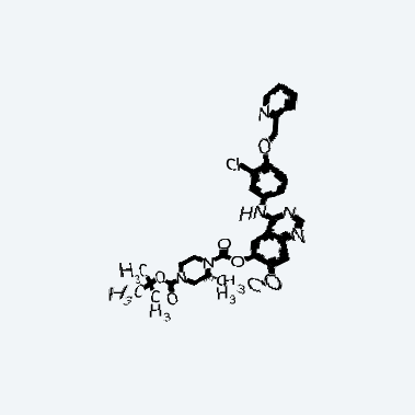 COc1cc2ncnc(Nc3ccc(OCc4ccccn4)c(Cl)c3)c2cc1OC(=O)N1CCN(C(=O)OC(C)(C)C)C[C@H]1C